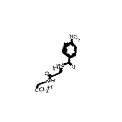 O=C(O)CNC(=O)CNC(=O)c1ccc([N+](=O)[O-])cc1